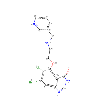 O=c1[nH]cnc2cc(Br)c(Cl)c(OCCNCc3cccnc3)c12